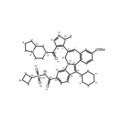 COc1ccc2c(c1)C=C(c1c(C(=O)N3CCN4CCCC4C3)cnn1C)Cn1c-2c(C2CCCCC2)c2ccc(C(=O)NS(=O)(=O)C3CCC3)cc21